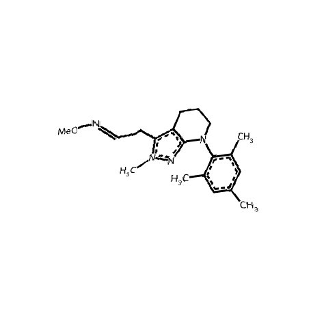 CON=CCc1c2c(nn1C)N(c1c(C)cc(C)cc1C)CCC2